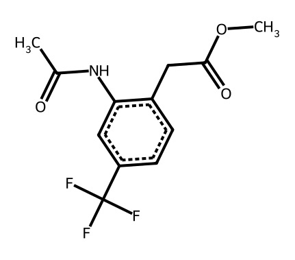 COC(=O)Cc1ccc(C(F)(F)F)cc1NC(C)=O